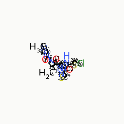 C=Cc1ccn(CC(=O)N2CCN(C)CC2)c(=O)c1-c1cc(NCc2ccc(Cl)s2)n(C(=O)c2ccsn2)n1